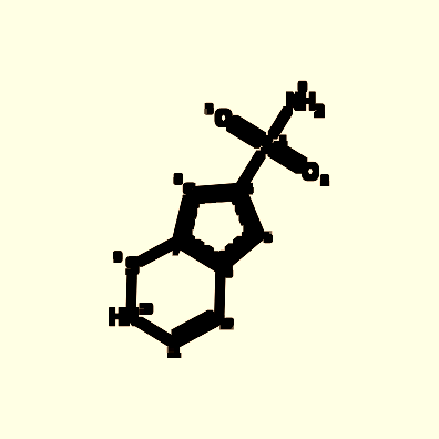 NS(=O)(=O)c1cc2c(s1)SNC=C2